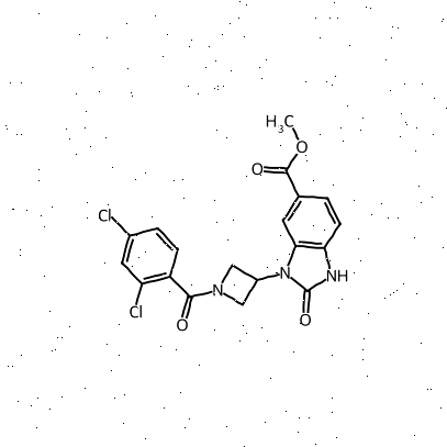 COC(=O)c1ccc2[nH]c(=O)n(C3CN(C(=O)c4ccc(Cl)cc4Cl)C3)c2c1